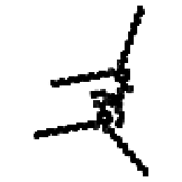 C#CCOCC(COCC#C)(COC(=O)c1ccc(OCCCCCCCCCCCC)c(OCCCCCCCCCCCC)c1)COC(=O)c1ccc(OCCCCCCCCCCCC)c(OCCCCCCCCCCCC)c1